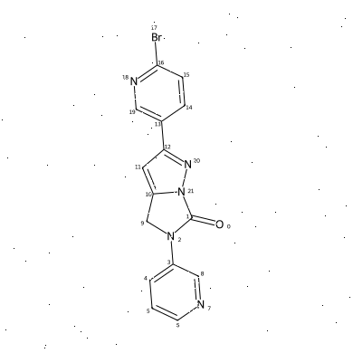 O=C1N(c2cccnc2)Cc2cc(-c3ccc(Br)nc3)nn21